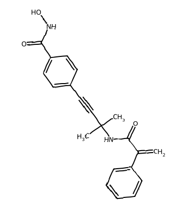 C=C(C(=O)NC(C)(C)C#Cc1ccc(C(=O)NO)cc1)c1ccccc1